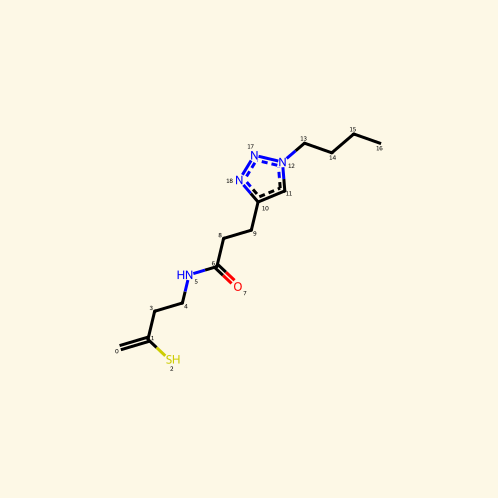 C=C(S)CCNC(=O)CCc1cn(CCCC)nn1